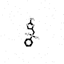 C[Si](C)(CC1COC(N)=N1)c1ccccc1